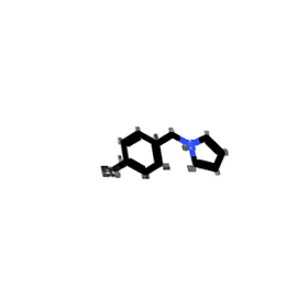 CCc1ccc(Cn2cccc2)cc1